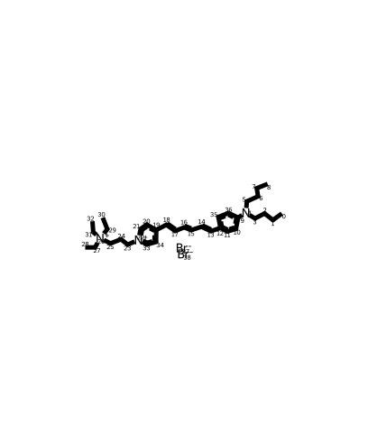 CCCCN(CCCC)c1ccc(/C=C/C=C/C=C/c2cc[n+](CCC[N+](CC)(CC)CC)cc2)cc1.[Br-].[Br-]